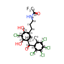 O=C(O)c1c(Cl)c(Cl)c(Cl)c(Cl)c1C(=O)c1cc(CCCNC(=O)C(F)(F)F)c(O)c(Cl)c1O